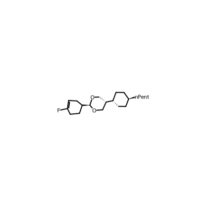 CCCCC[C@H]1CC[C@H]([C@H]2CO[C@H](C3CC=C(F)CC3)OC2)CC1